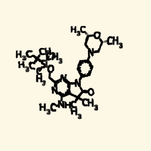 CNc1nc(CO[Si](C)(C)C(C)(C)C)nc2c1C(C)(C)C(=O)N2c1ccc(N2C[C@@H](C)O[C@@H](C)C2)cc1